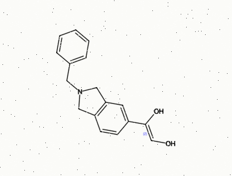 O/C=C(\O)c1ccc2c(c1)CN(Cc1ccccc1)C2